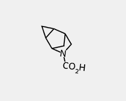 O=C(O)N1CC2CC1C1CC21